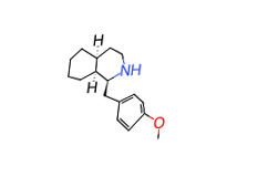 COc1ccc(C[C@@H]2NCC[C@@H]3CCCC[C@@H]32)cc1